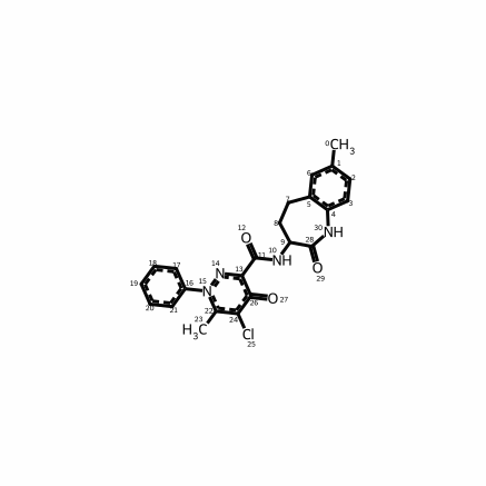 Cc1ccc2c(c1)CCC(NC(=O)c1nn(-c3ccccc3)c(C)c(Cl)c1=O)C(=O)N2